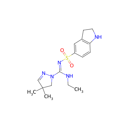 CCN/C(=N\S(=O)(=O)c1ccc2c(c1)CCN2)N1CC(C)(C)C=N1